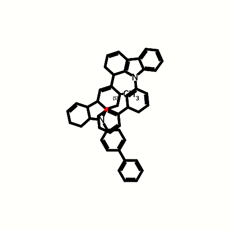 C[C@H]1CC2C(C=C1C1CC=Cc3c1n(C1=CC(C4=CCCC=C4)CC=C1)c1ccccc31)C1C=CCCC1N2C1C=CC(c2ccccc2)=CC1